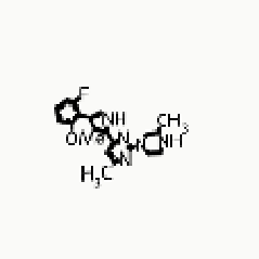 COc1cccc(F)c1C1=CNC(c2cc(C)nc(N3CCNC(C)C3)n2)C1